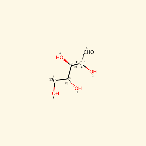 O=C[13C@H](O)[C@H](O)[C@H](O)[13CH2]O